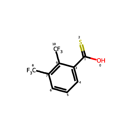 OC(=S)c1cccc(C(F)(F)F)c1C(F)(F)F